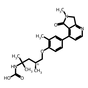 Cc1cc(-c2ccnc3c2C(=O)N(C)C3)ccc1OC[C@@H](C)CC(C)(C)NC(=O)O